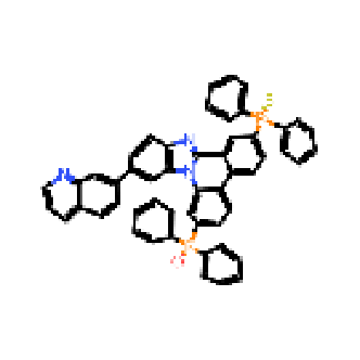 O=P(c1ccccc1)(c1ccccc1)c1ccc2c3ccc(P(=S)(c4ccccc4)c4ccccc4)cc3c3nc4ccc(-c5ccc6cccnc6c5)cc4n3c2c1